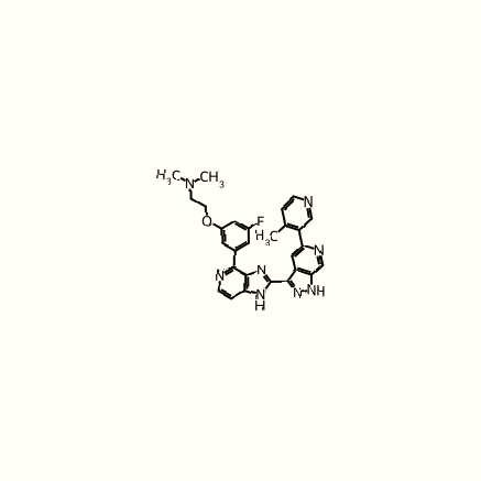 Cc1ccncc1-c1cc2c(-c3nc4c(-c5cc(F)cc(OCCN(C)C)c5)nccc4[nH]3)n[nH]c2cn1